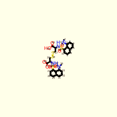 CN(C)c1cccc2cccc(S(=O)(=O)NC(CSSCC(NS(=O)(=O)c3cccc4cccc(N(C)C)c34)C(=O)O)C(=O)O)c12